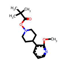 COc1ncccc1C1CCN(OC(=O)C(C)(C)C)CC1